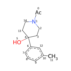 CC(=O)N1CCC(O)(c2cccc(C)c2)CC1